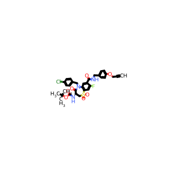 C#CCOc1ccc(CNC(=O)c2cc3c(cc2F)S(=O)(=O)C[C@H](NC(=O)OC(C)(C)C)C(=O)N3Cc2ccc(Cl)cc2)cc1